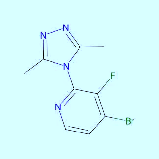 Cc1nnc(C)n1-c1nccc(Br)c1F